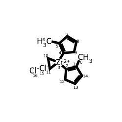 CC1=[C]([Zr+2]2([C]3=C(C)C=CC3)[CH2][CH2]2)CC=C1.[Cl-].[Cl-]